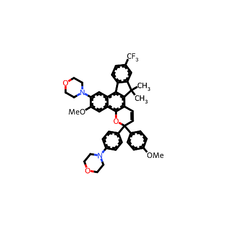 COc1ccc(C2(c3ccc(N4CCOCC4)cc3)C=Cc3c4c(c5cc(N6CCOCC6)c(OC)cc5c3O2)-c2ccc(C(F)(F)F)cc2C4(C)C)cc1